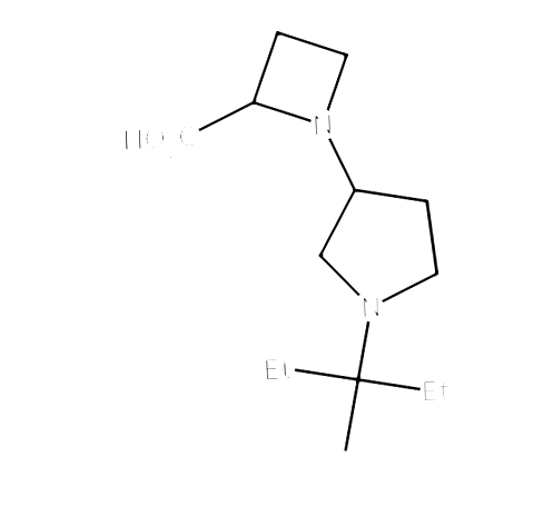 CCC(C)(CC)N1CCC(N2CCC2C(=O)O)C1